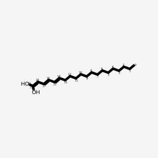 CCCCCCCCCCCCCCC=CC=CC=C(O)O